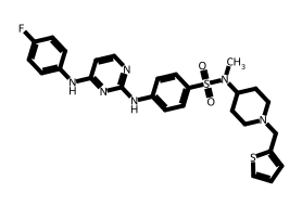 CN(C1CCN(Cc2cccs2)CC1)S(=O)(=O)c1ccc(Nc2nccc(Nc3ccc(F)cc3)n2)cc1